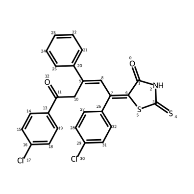 O=C1NC(=S)S/C1=C(/C=C(\CC(=O)c1ccc(Cl)cc1)c1ccccc1)c1ccc(Cl)cc1